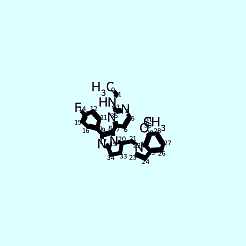 CCNc1nccc(-c2c(-c3ccc(F)cc3)nc3n2C(Cn2ccc4cccc(OC)c42)CC3)n1